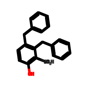 O=S(=O)(O)c1c(O)ccc(Cc2ccccc2)c1Cc1ccccc1